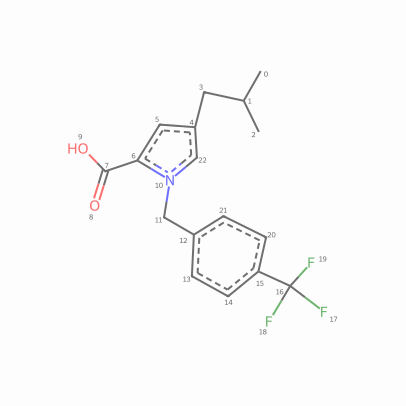 CC(C)Cc1cc(C(=O)O)n(Cc2ccc(C(F)(F)F)cc2)c1